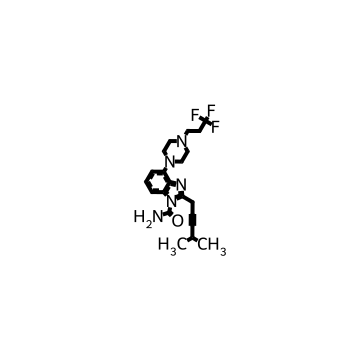 CC(C)C#CCc1nc2c(N3CCN(CCC(F)(F)F)CC3)cccc2n1C(N)=O